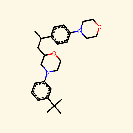 CC(CC1CN(c2cccc(C(C)(C)C)c2)CCO1)c1ccc(N2CCOCC2)cc1